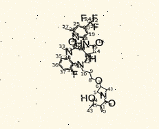 C=C(C(=O)N1CC(OCCCN2C[C@H]3CC(=O)N(c4cc(C(F)(F)F)cc(C)n4)[C@@H]3C(=O)N(C)c3cccc(F)c32)C1)C(C)O